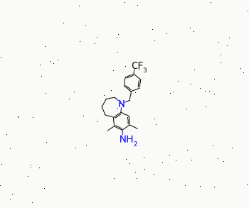 Cc1cc2c(c(C)c1N)CCCCN2Cc1ccc(C(F)(F)F)cc1